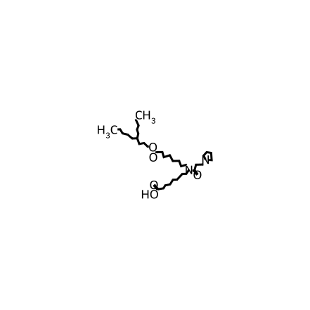 CCCCCC(CCCCC)CCCOC(=O)CCCCCCCN(CCCCCCCC(=O)O)C(=O)CCN1CCCC1